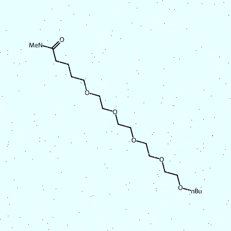 CCCCOCCOCCOCCOCCOCCCCC(=O)NC